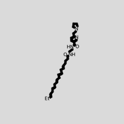 CCC=CCC=CCC=CCC=CCC=CCCCC(=O)NCCNC(=O)c1ccc(CCN2CCCC2)nc1